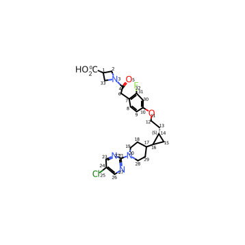 O=C(O)C1CN(C(=O)Cc2ccc(OCC[C@@H]3CC3C3CCN(c4ncc(Cl)cn4)CC3)cc2F)C1